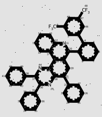 FC(F)(F)c1cc(-c2ccccc2-c2nc3ccccc3c3c2cc(-c2ccccc2)c2nc(-c4ccccc4)c(-c4ccccc4)nc23)cc(C(F)(F)F)c1